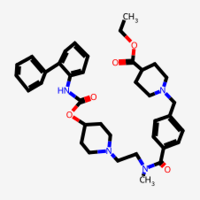 CCOC(=O)C1CCN(Cc2ccc(C(=O)N(C)CCN3CCC(OC(=O)Nc4ccccc4-c4ccccc4)CC3)cc2)CC1